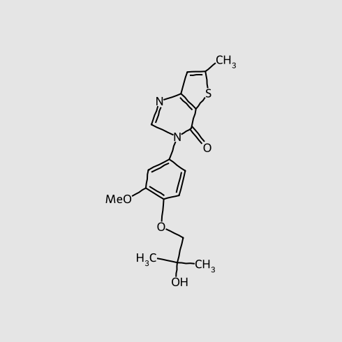 COc1cc(-n2cnc3cc(C)sc3c2=O)ccc1OCC(C)(C)O